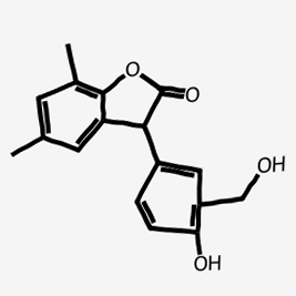 Cc1cc(C)c2c(c1)C(c1ccc(O)c(CO)c1)C(=O)O2